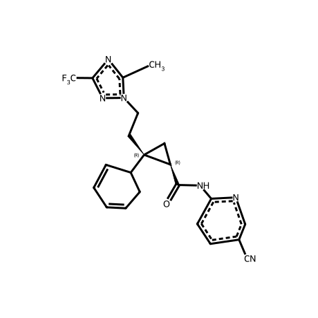 Cc1nc(C(F)(F)F)nn1CC[C@@]1(C2C=CC=CC2)C[C@H]1C(=O)Nc1ccc(C#N)cn1